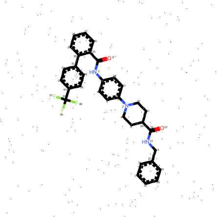 O=C(Nc1ccc(N2CCC(C(=O)NCc3ccccc3)CC2)cc1)c1ccccc1-c1ccc(C(F)(F)F)cc1